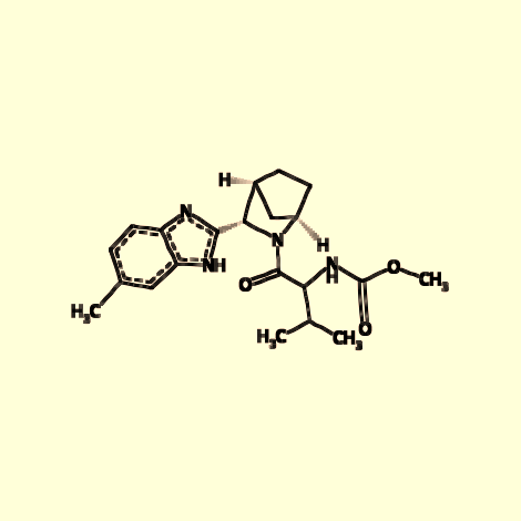 COC(=O)NC(C(=O)N1[C@@H]2CC[C@@H](C2)[C@H]1c1nc2ccc(C)cc2[nH]1)C(C)C